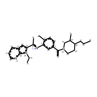 C=C(c1ccc(C)c(/N=C(\C)c2cc3cccnc3n2CC)c1)N1CCC(CCC)C(C)C1